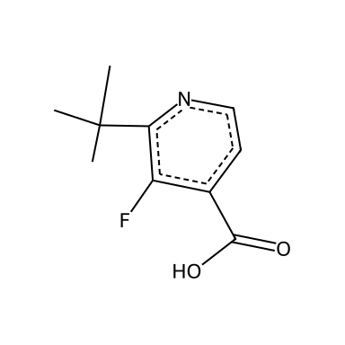 CC(C)(C)c1nccc(C(=O)O)c1F